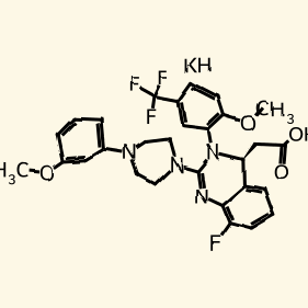 COc1cccc(N2CCN(C3=Nc4c(F)cccc4[C@H](CC(=O)O)N3c3cc(C(F)(F)F)ccc3OC)CC2)c1.[KH]